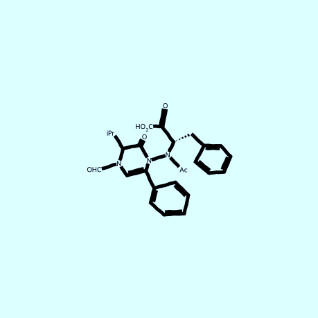 CC(=O)N([C@@H](Cc1ccccc1)C(=O)C(=O)O)N1C(=O)C(C(C)C)N(C=O)C=C1c1ccccc1